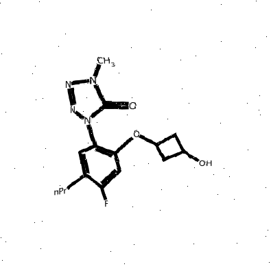 CCCc1cc(-n2nnn(C)c2=O)c(OC2CC(O)C2)cc1F